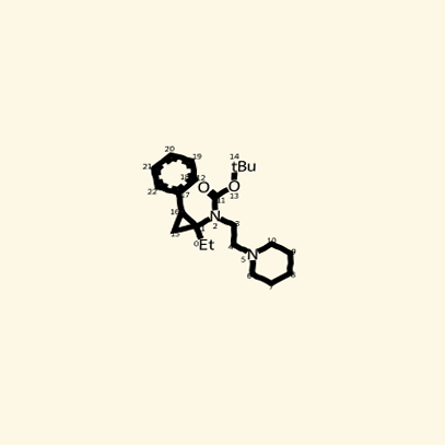 CCC1(N(CCN2CCCCC2)C(=O)OC(C)(C)C)CC1c1ccccc1